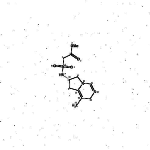 COC(=O)CS(=O)(=O)N[C@H]1CC2=C(C)CN=CN2C1